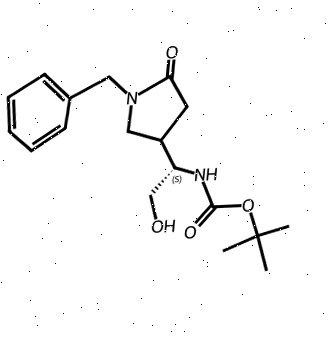 CC(C)(C)OC(=O)N[C@H](CO)C1CC(=O)N(Cc2ccccc2)C1